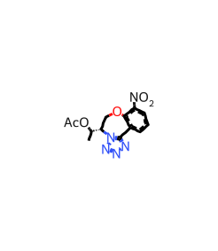 CC(=O)OC(C)[C@@H]1COc2c(cccc2[N+](=O)[O-])-c2nnnn21